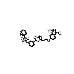 O=S(=O)(Nc1cccc([C@@H](O)CNCCOc2ccc3c(Cl)n[nH]c3c2)c1)c1ccccn1